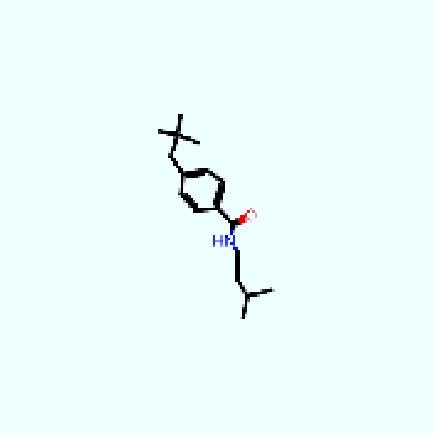 CC(C)CCNC(=O)c1ccc(CC(C)(C)C)cc1